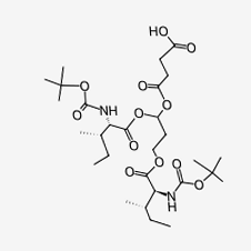 CC[C@H](C)[C@H](NC(=O)OC(C)(C)C)C(=O)OCCC(OC(=O)CCC(=O)O)OC(=O)[C@@H](NC(=O)OC(C)(C)C)[C@@H](C)CC